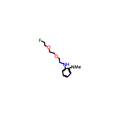 CNc1ccccc1NCCOCCOCCF